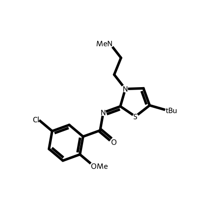 CNCCn1cc(C(C)(C)C)s/c1=N\C(=O)c1cc(Cl)ccc1OC